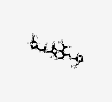 Cn1cnnc1SCC1=C(C(=O)O)N2C(=O)C(NC(=O)Cc3csc(N)n3)[C@@H]2SC1